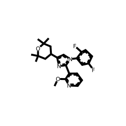 COc1ncccc1-c1nc(C2CC(C)(C)OC(C)(C)C2)cn1-c1cc(F)ccc1F